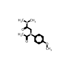 COc1ccc(N(CC(=O)N(C)C)C(C)=O)cc1